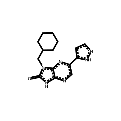 O=c1[nH]c2ncc(-c3ccn[nH]3)nc2n1CC1CCCCC1